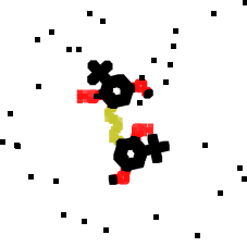 COc1cc(SSSc2cc(OC)cc(C(C)(C)C)c2O)c(O)c(C(C)(C)C)c1